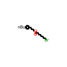 CCCCc1ccc(CCCCOC(=O)CCCCCCCBr)cc1